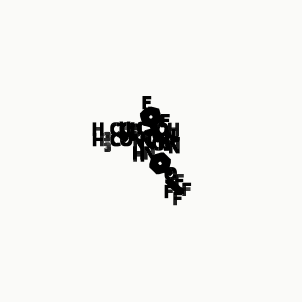 C[C@@H](N(NC(=O)OC(C)(C)C)C(=O)Nc1ccc(OCC(F)(F)C(F)F)cc1)[C@](O)(Cn1cncn1)c1ccc(F)cc1F